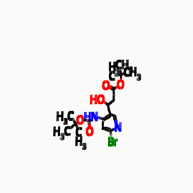 CC(C)(C)OC(=O)CC(O)c1cnc(Br)cc1NC(=O)OC(C)(C)C